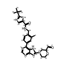 Cc1cc(-c2ncnc3nc(N4CCOC(C=O)C4)[nH]c23)ccc1CNC(=O)c1cnc(C(C)(C)C)s1